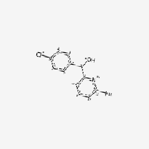 OC(c1ccc(Cl)cc1)c1cccc(F)n1